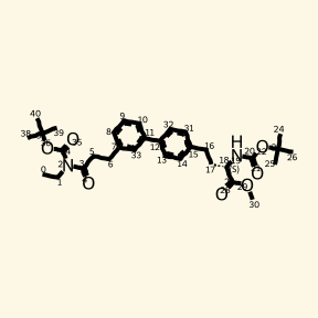 CCN(C(=O)CCc1cccc(-c2ccc(CC[C@H](NC(=O)OC(C)(C)C)C(=O)OC)cc2)c1)C(=O)OC(C)(C)C